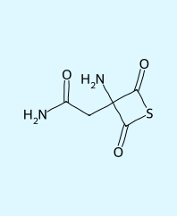 NC(=O)CC1(N)C(=O)SC1=O